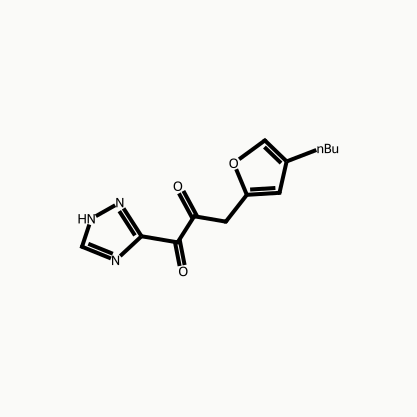 CCCCc1coc(CC(=O)C(=O)c2nc[nH]n2)c1